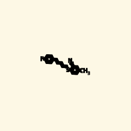 Cc1ccc(SCCCCCc2ccc(F)cc2)c(C#N)c1